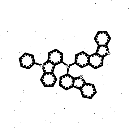 c1ccc(-n2c3ccccc3c3c(N(c4ccc5c(ccc6sc7ccccc7c65)c4)c4cccc5c4sc4ccccc45)cccc32)cc1